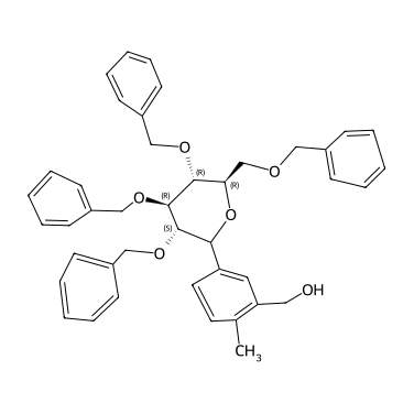 Cc1ccc(C2O[C@H](COCc3ccccc3)[C@@H](OCc3ccccc3)[C@H](OCc3ccccc3)[C@H]2OCc2ccccc2)cc1CO